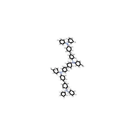 Cc1ccc(N(c2ccc(-c3ccc(N(c4ccccc4)c4ccccc4)cc3)cc2)c2ccc(-c3ccc(N(c4ccc(C)cc4)c4ccc(-c5ccc(N(c6ccccc6)c6ccccc6)cc5)cc4)cc3)cc2)cc1